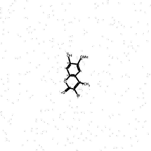 COc1cc2c(C)c(Br)c(=O)oc2cc1O